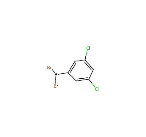 Clc1cc(Cl)cc(B(Br)Br)c1